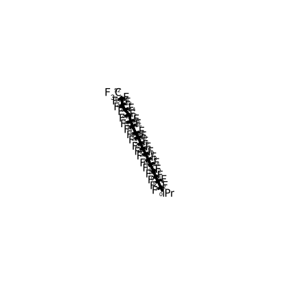 CC(C)C(F)(F)C(F)(F)C(F)(F)C(F)(F)C(F)(F)C(F)(F)C(F)(F)C(F)(F)C(F)(F)C(F)(F)C(F)(F)C(F)(F)C(F)(F)C(F)(F)C(F)(F)C(F)(F)C(F)(F)C(F)(F)F